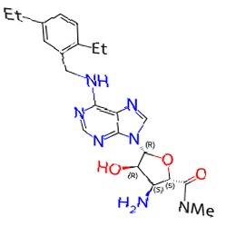 CCc1ccc(CC)c(CNc2ncnc3c2ncn3[C@@H]2O[C@H](C(=O)NC)[C@@H](N)[C@H]2O)c1